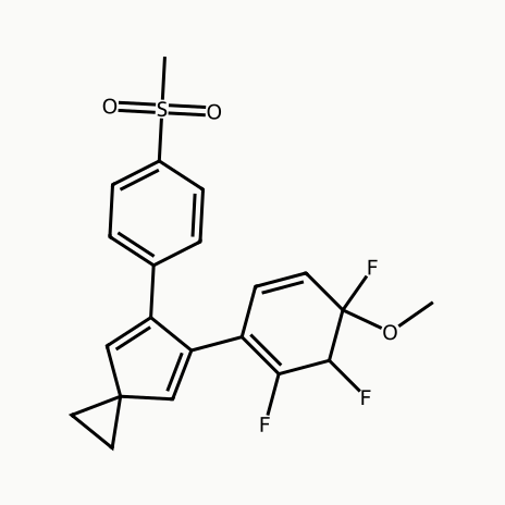 COC1(F)C=CC(C2=CC3(C=C2c2ccc(S(C)(=O)=O)cc2)CC3)=C(F)C1F